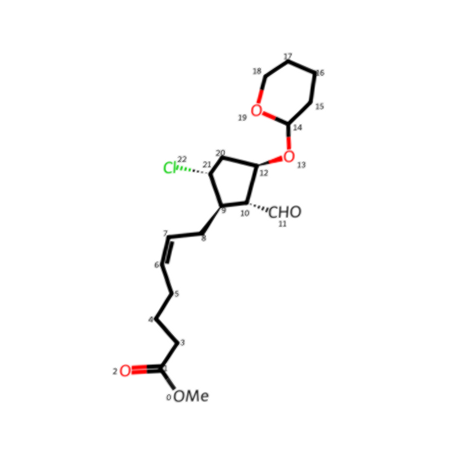 COC(=O)CCC/C=C\C[C@@H]1[C@@H](C=O)[C@H](OC2CCCCO2)C[C@H]1Cl